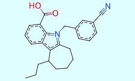 CCCC1CCCCc2c1c1cccc(C(=O)O)c1n2Cc1cccc(C#N)c1